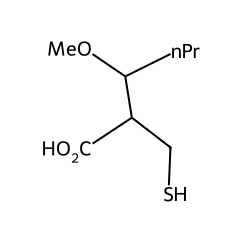 CCCC(OC)C(CS)C(=O)O